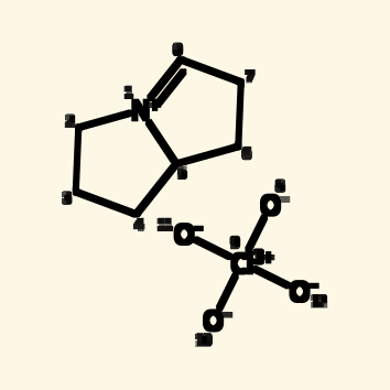 C1=[N+]2CCCC2CC1.[O-][Cl+3]([O-])([O-])[O-]